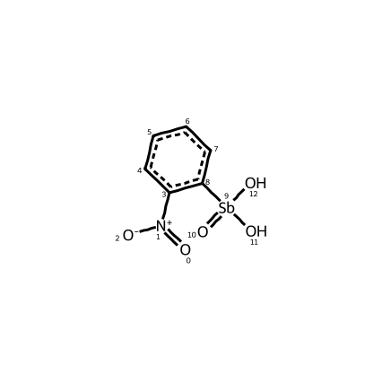 O=[N+]([O-])c1cccc[c]1[Sb](=[O])([OH])[OH]